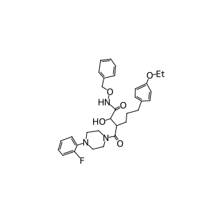 CCOc1ccc(CCCC(C(=O)N2CCN(c3ccccc3F)CC2)C(O)C(=O)NOCc2ccccc2)cc1